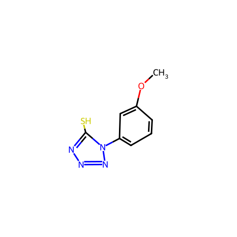 COc1cccc(-n2nnnc2S)c1